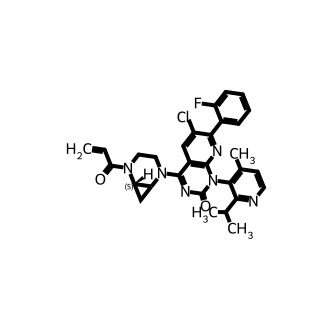 C=CC(=O)N1CCN(c2nc(=O)n(-c3c(C)ccnc3C(C)C)c3nc(-c4ccccc4F)c(Cl)cc23)C2C[C@@H]21